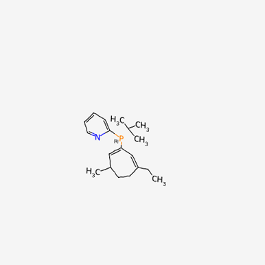 CCC1=CC([P@@](c2ccccn2)C(C)(C)C)=CC(C)CC1